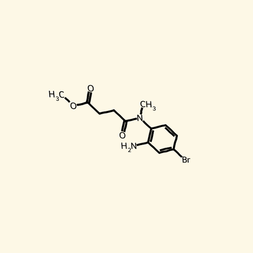 COC(=O)CCC(=O)N(C)c1ccc(Br)cc1N